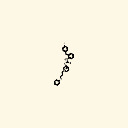 O=C(Nc1ccccc1Cc1ccc(F)cc1)OC1C[N+]2(CCCOc3ccccc3)CCC1CC2